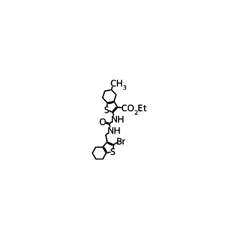 CCOC(=O)c1c(NC(=O)NCc2c(Br)sc3c2CCCC3)sc2c1CC(C)CC2